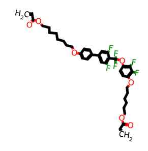 C=CC(=O)OCCCCCCCCOc1ccc(-c2cc(F)c(C(F)(F)Oc3ccc(OCCCCCCOC(=O)C=C)c(F)c3F)c(F)c2)cc1